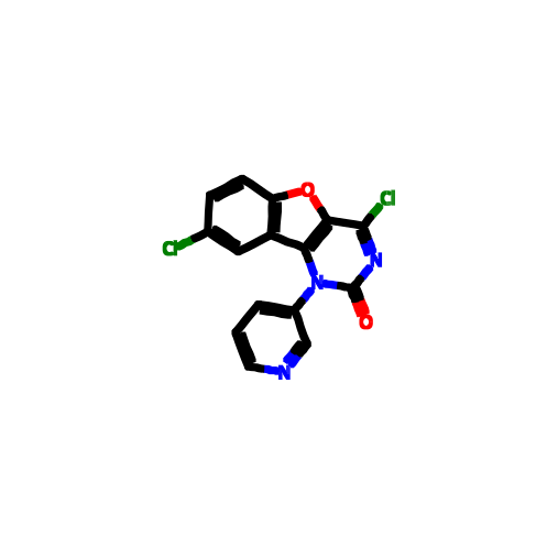 O=c1nc(Cl)c2oc3ccc(Cl)cc3c2n1-c1cccnc1